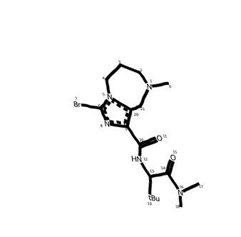 CN1CCCn2c(Br)nc(C(=O)NC(C(=O)N(C)C)C(C)(C)C)c2C1